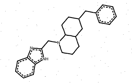 c1ccc(CC2CCC3C(CCCN3Cc3nc4ccccc4[nH]3)C2)cc1